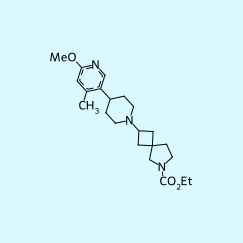 CCOC(=O)N1CCC2(CC(N3CCC(c4cnc(OC)cc4C)CC3)C2)C1